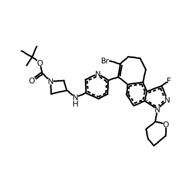 CC(C)(C)OC(=O)N1CC(Nc2ccc(C3=C(Br)CCCc4c3ccc3c4c(F)nn3C3CCCCO3)nc2)C1